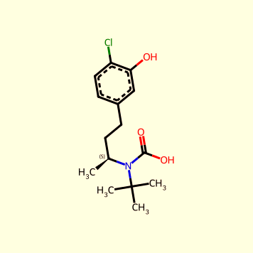 C[C@@H](CCc1ccc(Cl)c(O)c1)N(C(=O)O)C(C)(C)C